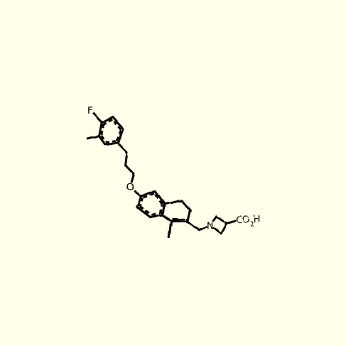 CC1=C(CN2CC(C(=O)O)C2)CCc2cc(OCCCc3ccc(F)c(C)c3)ccc21